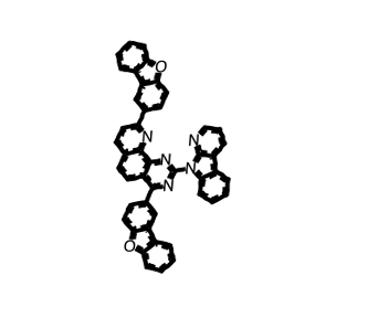 c1ccc2c(c1)oc1ccc(-c3ccc4ccc5c(-c6ccc7oc8ccccc8c7c6)nc(-n6c7ccccc7c7cccnc76)nc5c4n3)cc12